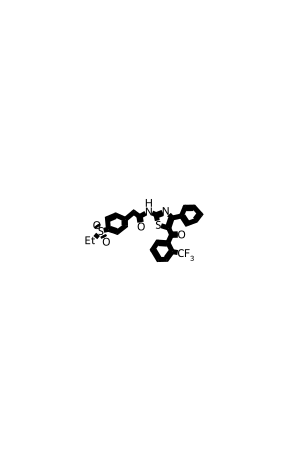 CCS(=O)(=O)c1ccc(CC(=O)Nc2nc(-c3ccccc3)c(C(=O)c3ccccc3C(F)(F)F)s2)cc1